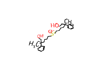 CC(CCO)(CCCCC[S+]([O-])CCCCCC(C)(CCO)c1ccccc1)c1ccccc1